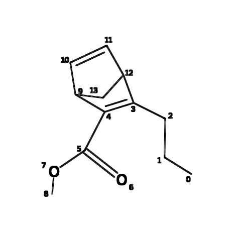 CCCC1=C(C(=O)OC)C2C=CC1C2